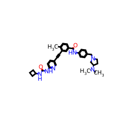 Cc1ccc(C(=O)Nc2ccc(CN3CC[C@@H](N(C)C)C3)cc2)cc1C#Cc1ccc(NC(=O)NC2CCC2)nc1